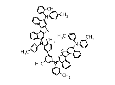 Cc1ccc(N(c2ccccc2C)c2cc3sc4cc(N(c5ccc(C)cc5)c5cc(-c6cc(C)cc(N(c7cccc(C)c7)c7cc8sc9cc(N(c%10cccc(C)c%10)c%10cccc(C)c%10)c%10ccccc%10c9c8c8ccccc78)c6)ccc5C)c5ccccc5c4c3c3ccccc23)cc1